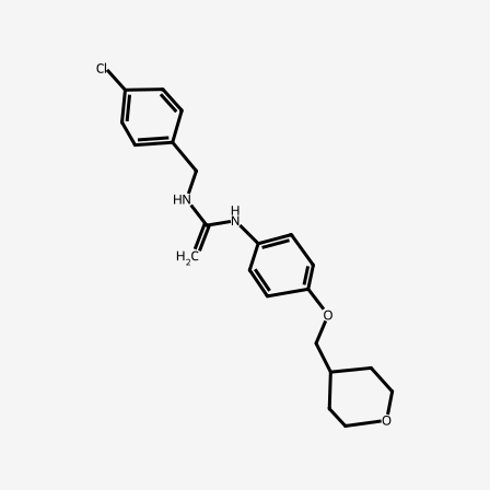 C=C(NCc1ccc(Cl)cc1)Nc1ccc(OCC2CCOCC2)cc1